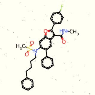 CNC(=O)c1c(-c2ccc(F)cc2)oc2cc(N(CCCCc3ccccc3)S(C)(=O)=O)c(-c3ccccc3)cc12